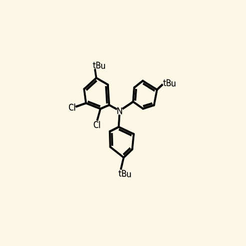 CC(C)(C)c1ccc(N(c2ccc(C(C)(C)C)cc2)c2cc(C(C)(C)C)cc(Cl)c2Cl)cc1